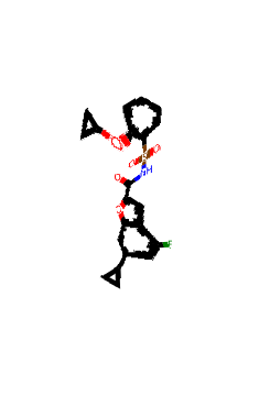 O=C(NS(=O)(=O)c1ccccc1OC1CC1)c1cc2c(F)cc(C3CC3)cc2o1